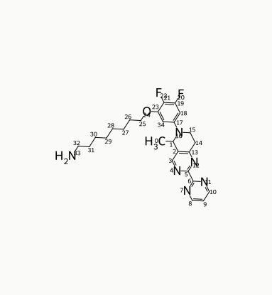 CC1c2cnc(-c3ncccn3)nc2CCN1c1cc(F)c(F)c(OCCCCCCCCN)c1